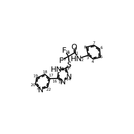 O=C(Nc1ccccc1)C(F)(F)Sc1nnc(-c2cccnc2)[nH]1